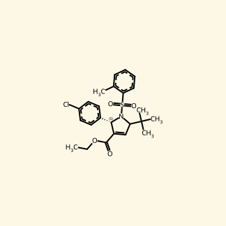 CCOC(=O)C1=CC(C(C)(C)C)N(S(=O)(=O)c2ccccc2C)[C@H]1c1ccc(Cl)cc1